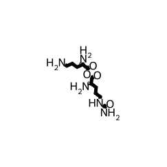 NCCC[C@@H](N)C(=O)OC(=O)[C@@H](N)CCCNC(N)=O